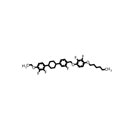 CCCCCCOc1ccc(OCc2ccc(C3CCC(c4ccc(OCC)c(F)c4F)CC3)cc2F)c(F)c1F